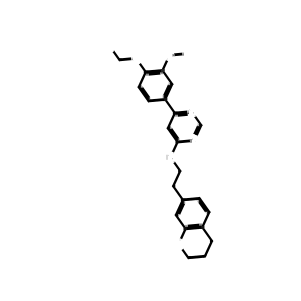 CCOc1cc(-c2cc(NCCc3ccc4c(c3)OCCC4)ncn2)ccc1OCC(=O)O